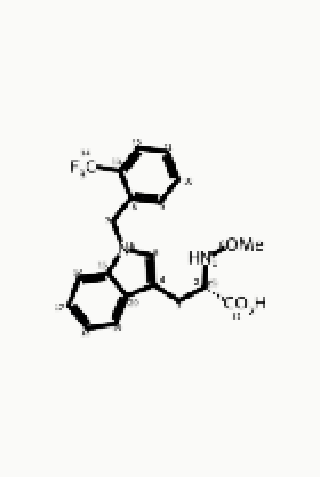 CON[C@@H](Cc1cn(Cc2ccccc2C(F)(F)F)c2ccccc12)C(=O)O